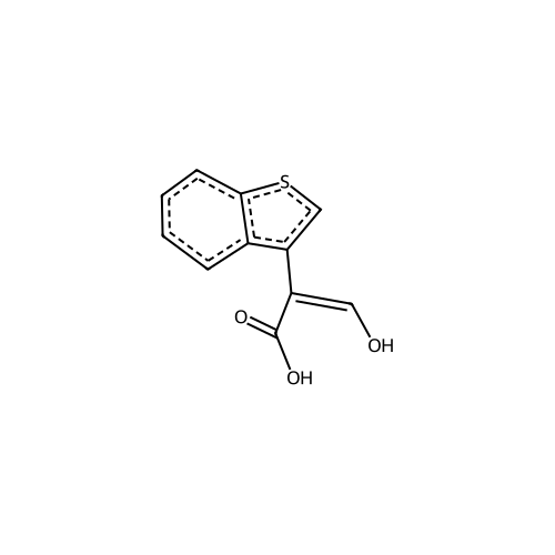 O=C(O)C(=CO)c1csc2ccccc12